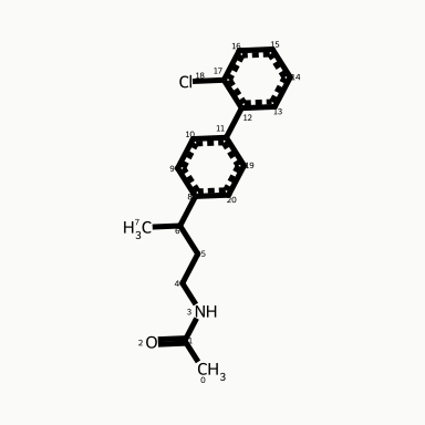 CC(=O)NCCC(C)c1ccc(-c2ccccc2Cl)cc1